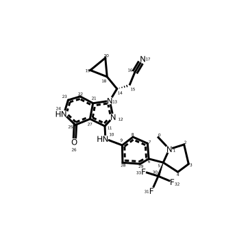 CN1CCC[C@@]1(c1ccc(Nc2nn([C@@H](CC#N)C3CC3)c3cc[nH]c(=O)c23)cc1)C(F)(F)F